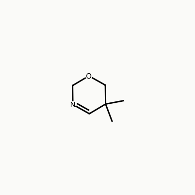 CC1(C)C=NCOC1